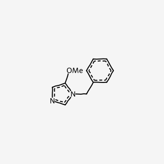 COc1cncn1Cc1ccccc1